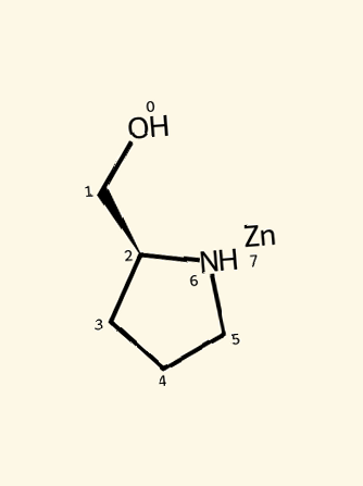 OC[C@@H]1CCCN1.[Zn]